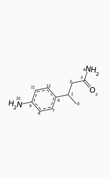 CC(CC(N)=O)c1ccc(N)cc1